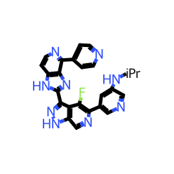 CC(C)Nc1cncc(-c2ncc3[nH]nc(-c4nc5c(-c6ccncc6)nccc5[nH]4)c3c2F)c1